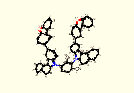 N#Cc1ccc(-n2c3ccc(-c4ccc5oc6ccccc6c5c4)cc3c3c4ccccc4ccc32)c(C#N)c1-n1c2ccc(-c3ccc4oc5ccccc5c4c3)cc2c2c3ccccc3ccc21